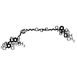 C=C1CCC(N2C(=O)c3cccc(NC(=O)CCCCCOCCOCCOCCCCCCN4CCN(CCCOc5cc6ncc(C#N)c(Nc7cc(OC)c(Cl)cc7Cl)c6cc5OC)CC4)c3C2=O)C(=O)N1